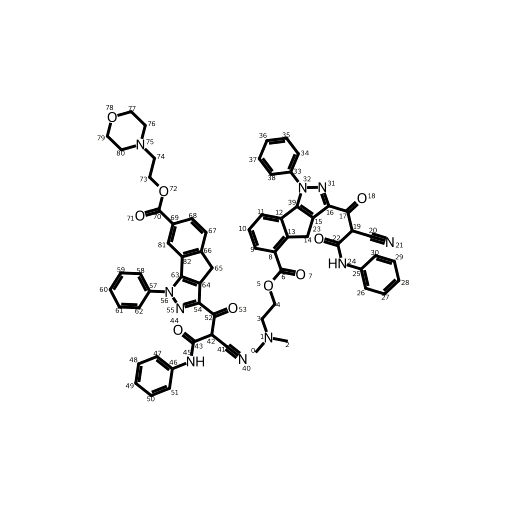 CN(C)CCOC(=O)c1cccc2c1Cc1c(C(=O)C(C#N)C(=O)Nc3ccccc3)nn(-c3ccccc3)c1-2.N#CC(C(=O)Nc1ccccc1)C(=O)c1nn(-c2ccccc2)c2c1Cc1ccc(C(=O)OCCN3CCOCC3)cc1-2